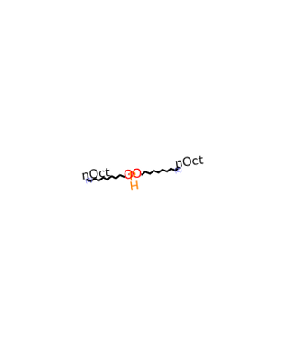 CCCCCCCC/C=C\CCCCCCCCOPOCCCCCCCC/C=C\CCCCCCCC